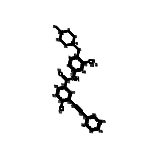 CN1CCN(Cc2ccc(NC(=O)c3ccc(Cl)c(C#Cc4cccnc4)c3)cc2C(F)(F)F)CC1